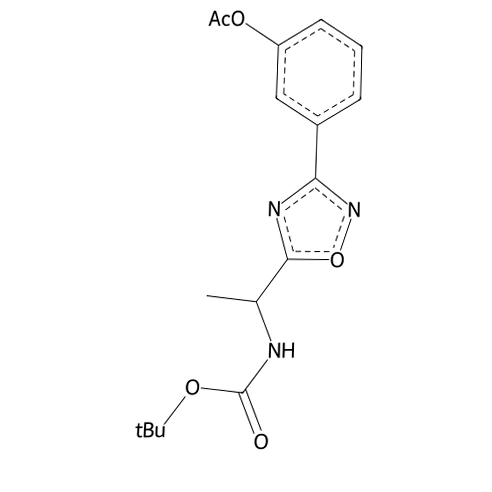 CC(=O)Oc1cccc(-c2noc(C(C)NC(=O)OC(C)(C)C)n2)c1